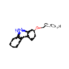 O=C(O)COc1ccc2c(c1)[nH]c1ccccc12